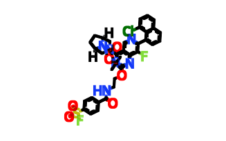 CC(C)(C)OC(=O)N1[C@@H]2CC[C@H]1CN(c1nc(OCCNC(=O)c3ccc(S(=O)(=O)F)cc3)nc3c(F)c(-c4cccc5cccc(Cl)c45)ncc13)C2